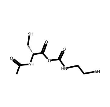 CC(=O)N[C@H](CS)C(=O)OC(=O)NCCS